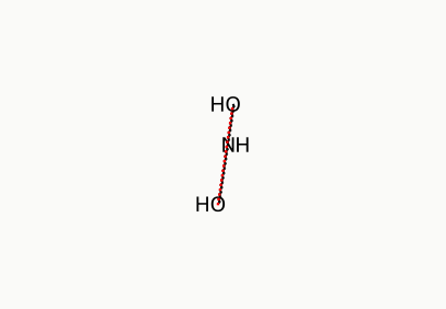 OCCCCCCCCCCCCCCCCCCCCCCCCNCCCCCCCCCCCCCCCCO